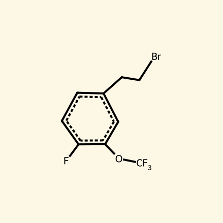 Fc1ccc(CCBr)cc1OC(F)(F)F